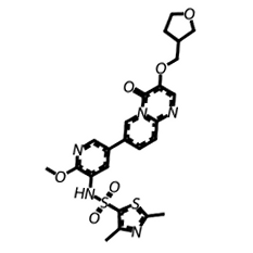 COc1ncc(-c2ccc3ncc(OCC4CCOC4)c(=O)n3c2)cc1NS(=O)(=O)c1sc(C)nc1C